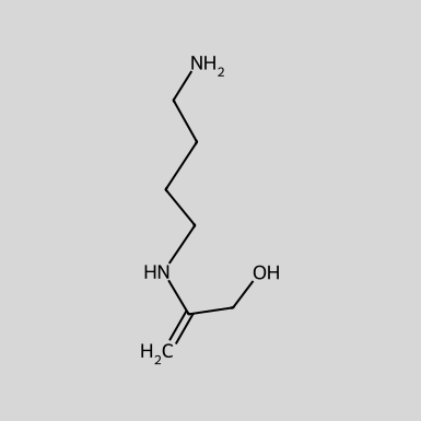 C=C(CO)NCCCCN